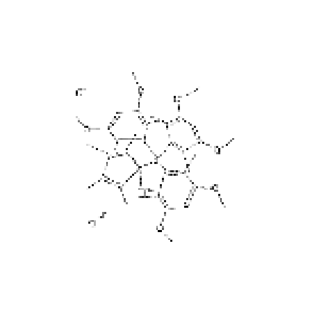 COc1cc(OC)c(C)c([Si](c2c(C)c(OC)cc(OC)c2C)(c2c(C)c(OC)cc(OC)c2C)[C]2([Ti+3])C(C)=C(C)C(C)=C2C)c1C.[Cl-].[Cl-].[Cl-]